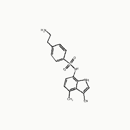 Cc1ccc(NS(=O)(=O)c2ccc(CCN)cc2)c2[nH]cc(C#N)c12